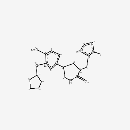 COc1ccc(C2CNC(=O)N(Cc3nccn3C)C2)cc1OC1CCCC1